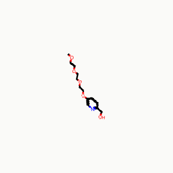 COCCOCCOCCOc1ccc(CO)nc1